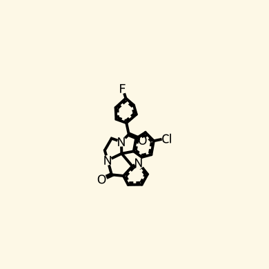 O=C(c1ccc(F)cc1)N1CCN2C(=O)c3cccnc3C12c1ccc(Cl)cc1